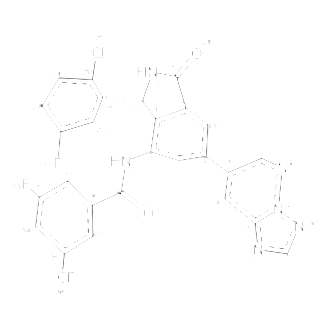 O=C(Nc1cc(-c2cnn3ncnc3c2)cc2c1[C@H](c1cc(F)ccc1Cl)NC2=O)c1cc(F)cc(C(F)(F)F)c1